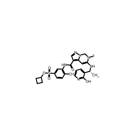 Cc1ccc(S(=O)(=O)OC2CCC2)cc1NC(=O)c1cnn2c1C=C(N[C@H](C)c1cccnc1O)N(F)C2